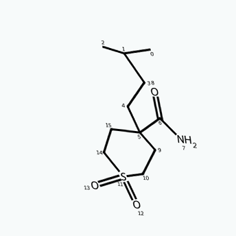 CC(C)CCC1(C(N)=O)CCS(=O)(=O)CC1